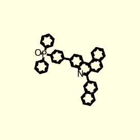 O=P(c1ccccc1)(c1ccccc1)c1ccc(-c2ccc3c(c2)nc(-c2ccc4ccccc4c2)c2ccc4ccccc4c23)cc1